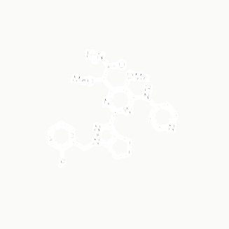 COc1c(Nc2ccncc2)nc(-c2nn(Cc3ccccc3F)c3c2CCC3)nc1C(OC)C(N)=O